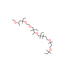 CCOC(C)CC(C)(CC)OCCOCC(C)(CC)C(C)OCC(C)(CC)C(C)(C)CCOC(C)(C)CCOC(C)(C)CC